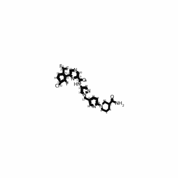 NC(=O)C1CCCN(c2ccc(Cn3cc(NC(=O)c4cncc(-c5c(C(F)F)ccc(Cl)c5F)n4)cn3)cn2)C1